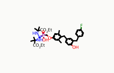 CCOC(=O)C(C)(C)NN(NC(C)(C)C(=O)OCC)P(=O)(O)COc1cc(C)c(Cc2ccc(O)c(Cc3ccc(F)cc3)c2)c(C)c1